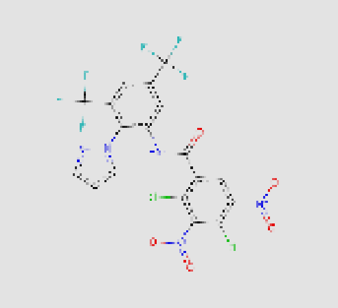 O=C(Nc1cc(C(F)(F)F)cc(C(F)(F)F)c1-n1cccn1)c1cc([N+](=O)[O-])c(Cl)c([N+](=O)[O-])c1Cl